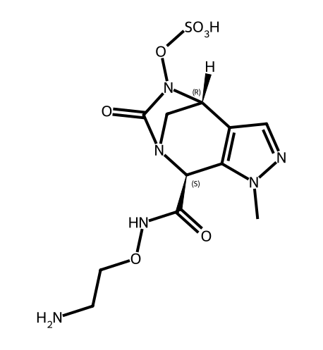 Cn1ncc2c1[C@@H](C(=O)NOCCN)N1C[C@@H]2N(OS(=O)(=O)O)C1=O